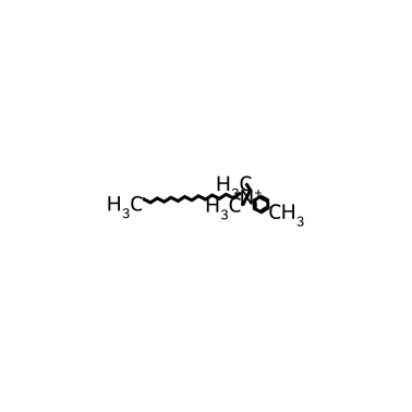 CCCCCCCCCCCCCCCC[N+](CC)(CC)c1ccc(C)cc1